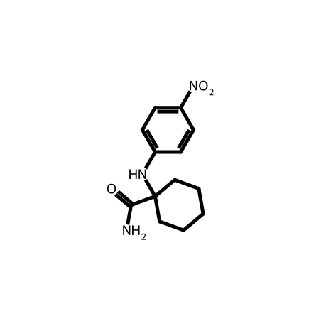 NC(=O)C1(Nc2ccc([N+](=O)[O-])cc2)CCCCC1